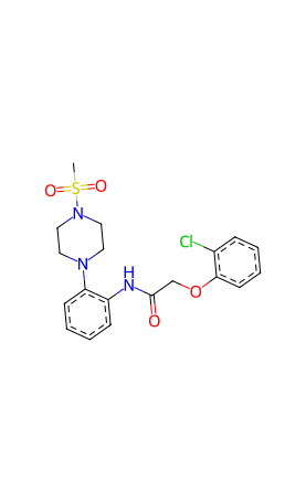 CS(=O)(=O)N1CCN(c2ccccc2NC(=O)COc2ccccc2Cl)CC1